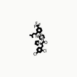 CC(C)CC(N)c1cc(C(F)(F)F)ccc1N1CCN(C(=O)C(Cc2ccc(Cl)cc2Cl)n2cccc2)CC1